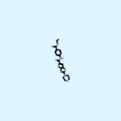 CCOC(=O)c1ccc(NC(=O)c2cc3sc(N4CCOCC4)nc3s2)cc1